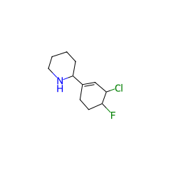 FC1CCC(C2CCCCN2)=CC1Cl